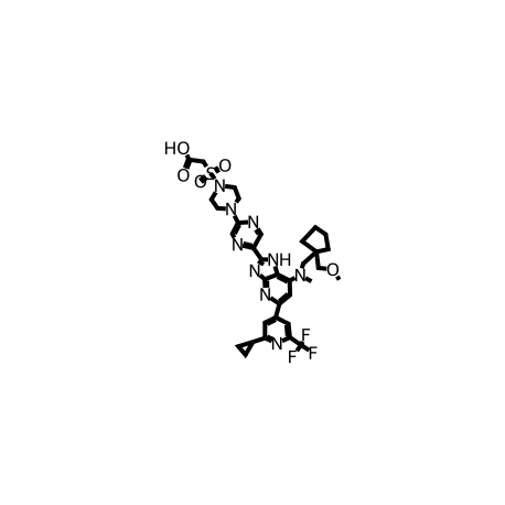 COCC1(CN(C)c2cc(-c3cc(C4CC4)nc(C(F)(F)F)c3)nc3nc(-c4cnc(N5CCN(S(=O)(=O)CC(=O)O)CC5)cn4)[nH]c23)CCCC1